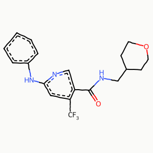 O=C(NCC1CCOCC1)c1cnc(Nc2ccccc2)cc1C(F)(F)F